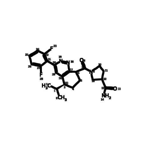 CC(C)[C@@H]1CCC(C(=O)N2CCC(C(N)=O)C2)c2nnc(-c3c(F)cccc3F)cc21